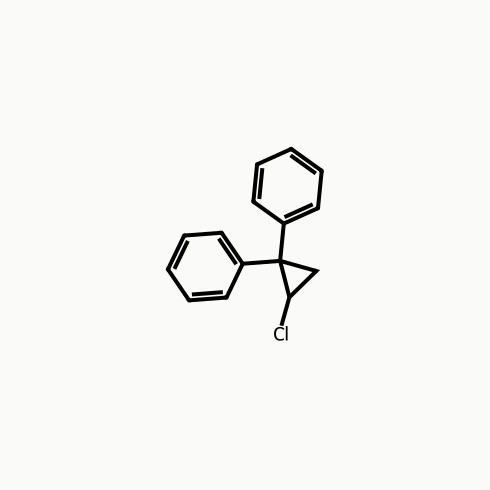 ClC1CC1(c1ccccc1)c1ccccc1